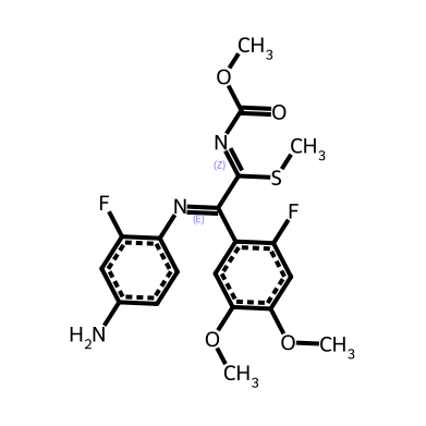 COC(=O)/N=C(SC)/C(=N/c1ccc(N)cc1F)c1cc(OC)c(OC)cc1F